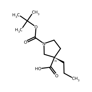 CCC[C@]1(C(=O)O)CCN(C(=O)OC(C)(C)C)C1